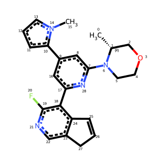 C[C@@H]1COCCN1c1cc(-c2cccn2C)cc(-c2c(F)ncc3c2C=CC3)n1